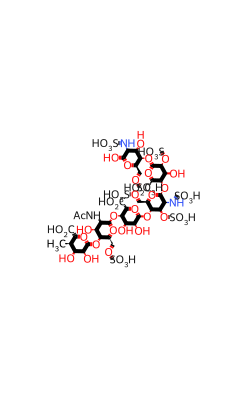 CC(=O)N[C@H]1[C@@H](O[C@H]2[C@H](O)[C@@H](O)[C@H](O[C@H]3[C@H](OS(=O)(=O)O)[C@@H](NS(=O)(=O)O)[C@@H](O[C@H]4[C@H](O)[C@@H](OS(=O)(=O)O)C(O[C@H]5[C@H](O)[C@@H](NS(=O)(=O)O)C(O)O[C@@H]5COS(=O)(=O)O)O[C@H]4C(=O)O)O[C@@H]3COS(=O)(=O)O)O[C@@H]2C(=O)O)O[C@H](COS(=O)(=O)O)[C@@H](OC2OC(C(=O)O)[C@@H](C)[C@H](O)[C@H]2O)[C@@H]1O